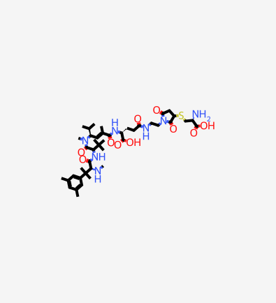 CN[C@H](C(=O)NC(C(=O)N(C)[C@H](/C=C(\C)C(=O)N[C@H](CCC(=O)NCCN1C(=O)CC(SC[C@H](N)C(=O)O)C1=O)C(=O)O)C(C)C)C(C)(C)C)C(C)(C)c1cc(C)cc(C)c1